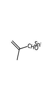 C=C(C)C=O.[Sn]